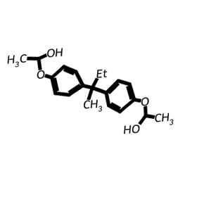 CCC(C)(c1ccc(OC(C)O)cc1)c1ccc(OC(C)O)cc1